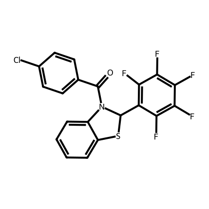 O=C(c1ccc(Cl)cc1)N1c2ccccc2SC1c1c(F)c(F)c(F)c(F)c1F